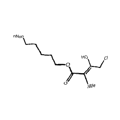 [CH2-][NH2+]/C(C(=O)OCCCCCCCCCCCCCC)=C(/O)CCl